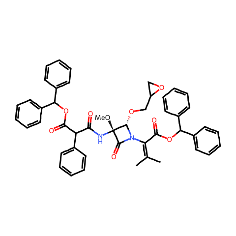 CO[C@]1(NC(=O)C(C(=O)OC(c2ccccc2)c2ccccc2)c2ccccc2)C(=O)N(C(C(=O)OC(c2ccccc2)c2ccccc2)=C(C)C)[C@H]1OCC1CO1